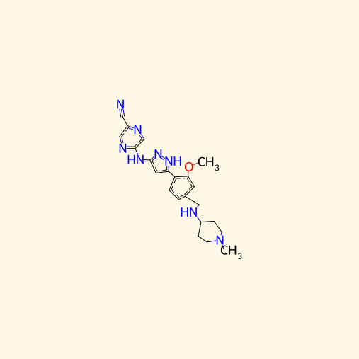 COc1cc(CNC2CCN(C)CC2)ccc1-c1cc(Nc2cnc(C#N)cn2)n[nH]1